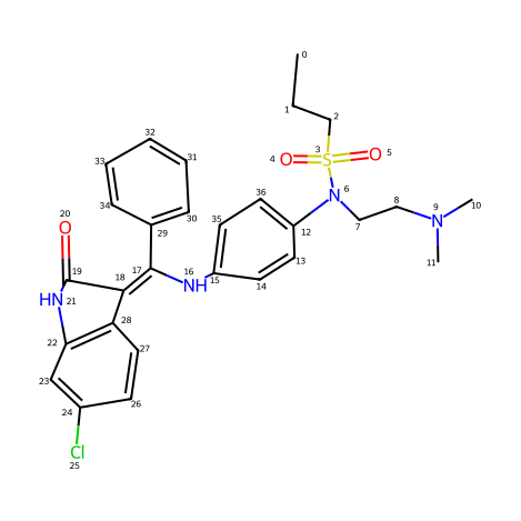 CCCS(=O)(=O)N(CCN(C)C)c1ccc(NC(=C2C(=O)Nc3cc(Cl)ccc32)c2ccccc2)cc1